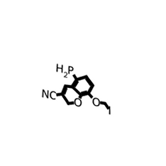 N#CC1=Cc2c(P)ccc(OCI)c2OC1